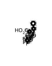 CC(C)C(C(=O)N(Cc1ccc(C2CCCCCC2)cc1)c1ccc(C(=O)O)cc1)N(C)S(=O)(=O)c1c(F)c(F)c(F)c(F)c1F